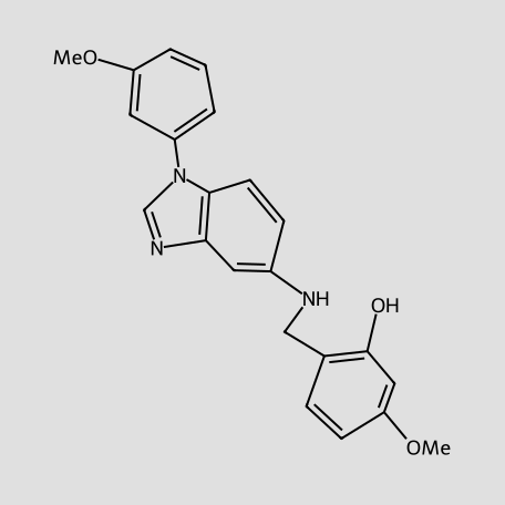 COc1cccc(-n2cnc3cc(NCc4ccc(OC)cc4O)ccc32)c1